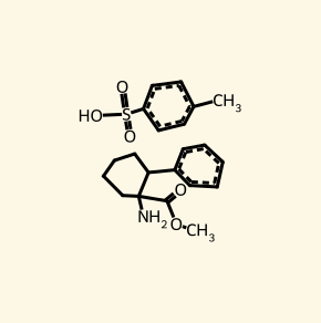 COC(=O)C1(N)CCCCC1c1ccccc1.Cc1ccc(S(=O)(=O)O)cc1